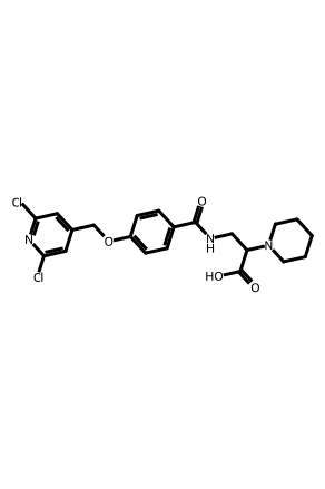 O=C(NCC(C(=O)O)N1CCCCC1)c1ccc(OCc2cc(Cl)nc(Cl)c2)cc1